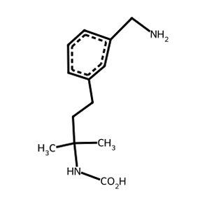 CC(C)(CCc1cccc(CN)c1)NC(=O)O